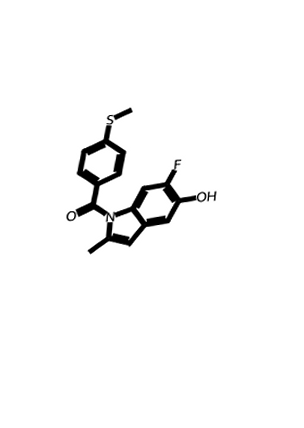 CSc1ccc(C(=O)n2c(C)[c]c3cc(O)c(F)cc32)cc1